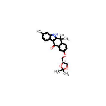 CC1(C)OC[C@H](COc2ccc3c(c2)C(=O)c2c([nH]c4cc(C#N)ccc24)C3(C)C)O1